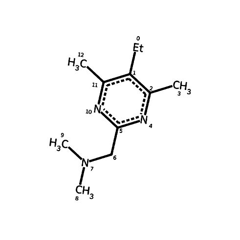 CCc1c(C)nc(CN(C)C)nc1C